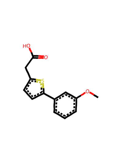 COc1cccc(-c2ccc(CC(=O)O)s2)c1